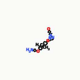 CC(C)(c1ccc(OCc2ccnc(N3CC4(CC(=O)C4)C3)n2)cc1)c1ccc(OC2CC(N)C2)cc1